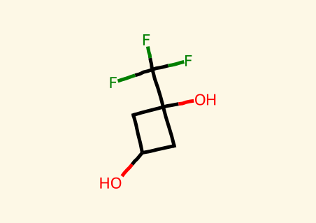 OC1CC(O)(C(F)(F)F)C1